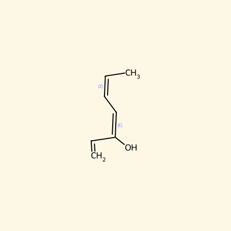 C=C/C(O)=C\C=C/C